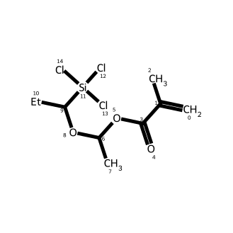 C=C(C)C(=O)OC(C)OC(CC)[Si](Cl)(Cl)Cl